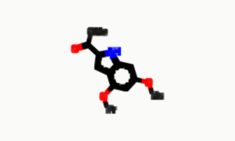 CCC(C)Oc1cc(OC(C)C)c2cc(C(=O)OC)[nH]c2c1